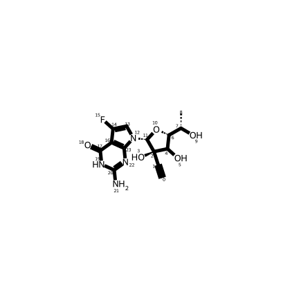 C#C[C@@]1(O)C(O)[C@@H]([C@H](C)O)O[C@H]1n1cc(F)c2c(=O)[nH]c(N)nc21